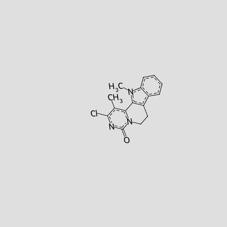 Cc1c(Cl)nc(=O)n2c1-c1c(c3ccccc3n1C)CC2